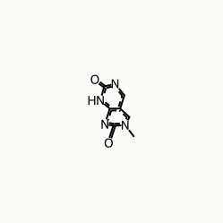 Cn1cc2cnc(=O)[nH]c2nc1=O